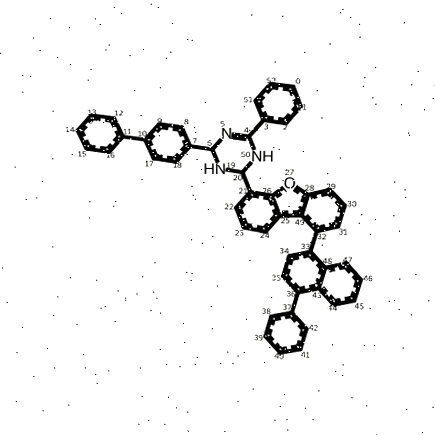 c1ccc(C2=NC(c3ccc(-c4ccccc4)cc3)NC(c3cccc4c3oc3cccc(-c5ccc(-c6ccccc6)c6ccccc56)c34)N2)cc1